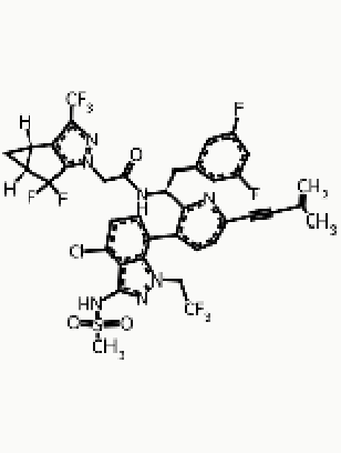 C=C(C)C#Cc1ccc(-c2ccc(Cl)c3c(NS(C)(=O)=O)nn(CC(F)(F)F)c23)c([C@H](Cc2cc(F)cc(F)c2)NC(=O)Cn2nc(C(F)(F)F)c3c2C(F)(F)[C@@H]2C[C@H]32)n1